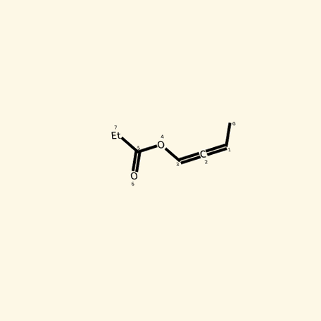 CC=C=COC(=O)CC